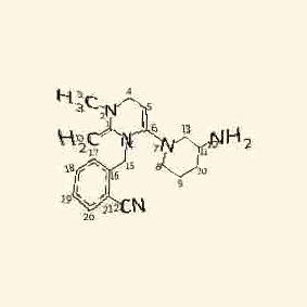 C=C1N(C)CC=C(N2CCCC(N)C2)N1Cc1ccccc1C#N